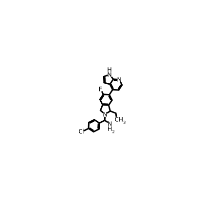 CCC1c2cc(-c3ccnc4[nH]ccc34)c(F)cc2CN1C(N)c1ccc(Cl)cc1